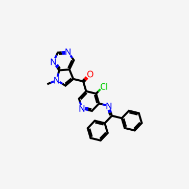 Cn1cc(C(=O)c2cncc(N=C(c3ccccc3)c3ccccc3)c2Cl)c2cncnc21